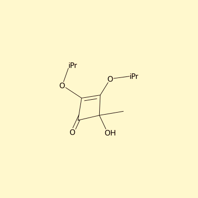 CC(C)OC1=C(OC(C)C)C(C)(O)C1=O